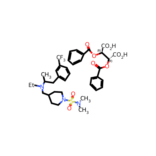 CCN(CC1CCN(S(=O)(=O)N(C)C)CC1)C(C)Cc1cccc(C(F)(F)F)c1.O=C(O[C@@H](C(=O)O)[C@@H](OC(=O)c1ccccc1)C(=O)O)c1ccccc1